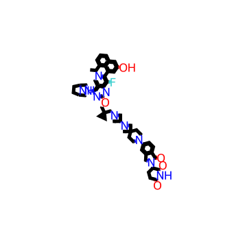 CCc1cccc2cc(O)cc(-c3ncc4c(N5CC6CCC(C5)N6)nc(OCC5(CN6CC(N7CC8(CCN(c9ccc%10c(c9)CN(C9CCC(=O)NC9=O)C%10=O)CC8)C7)C6)CC5)nc4c3F)c12